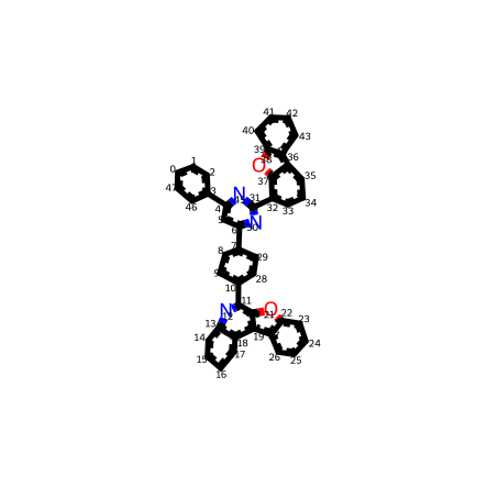 c1ccc(-c2cc(-c3ccc(-c4nc5ccccc5c5c4oc4ccccc45)cc3)nc(-c3cccc4c3oc3ccccc34)n2)cc1